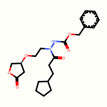 O=C1C[C@H](OCCN(NC(=O)OCc2ccccc2)C(=O)CCC2CCCC2)CO1